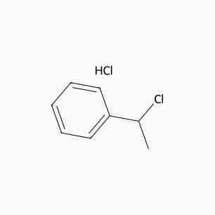 CC(Cl)c1ccccc1.Cl